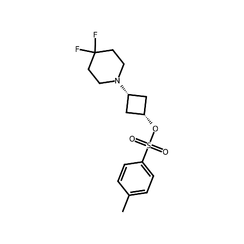 Cc1ccc(S(=O)(=O)O[C@H]2C[C@@H](N3CCC(F)(F)CC3)C2)cc1